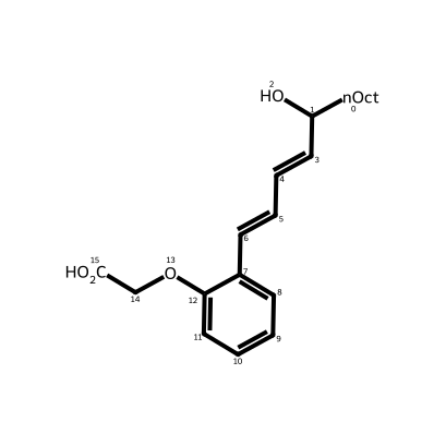 CCCCCCCCC(O)C=CC=Cc1ccccc1OCC(=O)O